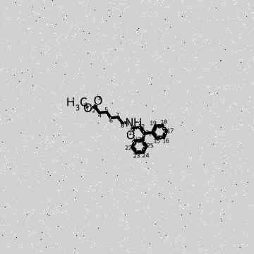 COC(=O)CCCCCNC(=O)C=C(c1ccccc1)c1ccccc1